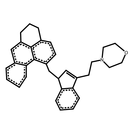 C1=C(CCN2CCOCC2)c2ccccc2C1Cc1ccc2c3c(cc4ccccc4c13)CCC2